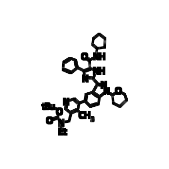 CCN(Cc1cncc(-c2ccc3c(c2)c(-c2nc(-c4ccccc4)c(C(=O)NC4CCCCC4)[nH]2)nn3C2CCCCO2)c1C)C(=O)OC(C)(C)C